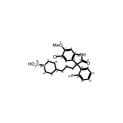 COc1cc2c(cc1Cl)C(CCCC1CCN(C(=O)O)CC1)(c1ccccc1F)C(=O)N2